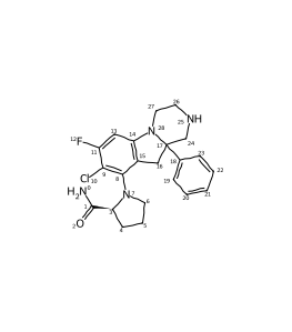 NC(=O)[C@@H]1CCCN1c1c(Cl)c(F)cc2c1CC1(c3ccccc3)CNCCN21